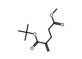 C=C(CCC(=O)OC)C(=O)OC(C)(C)C